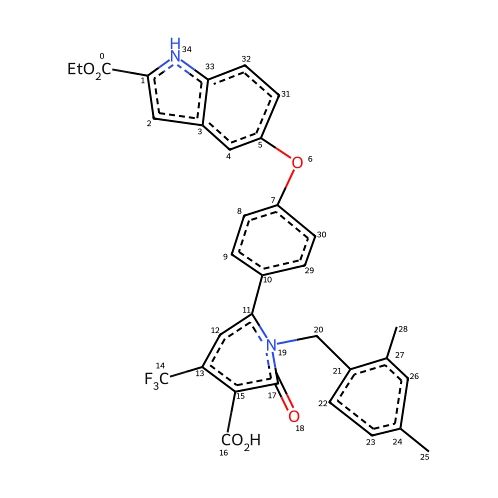 CCOC(=O)c1cc2cc(Oc3ccc(-c4cc(C(F)(F)F)c(C(=O)O)c(=O)n4Cc4ccc(C)cc4C)cc3)ccc2[nH]1